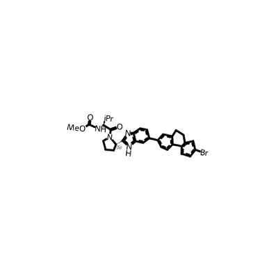 COC(=O)N[C@H](C(=O)N1CCC[C@H]1c1nc2ccc(-c3ccc4c(c3)CCc3cc(Br)ccc3-4)cc2[nH]1)C(C)C